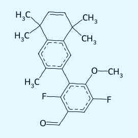 COc1c(F)cc(C=O)c(F)c1-c1cc2c(cc1C)C(C)(C)C=CC2(C)C